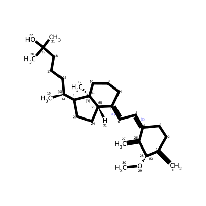 C=C1CC/C(=C/C=C2\CCC[C@]3(C)C([C@@H](C)CCCC(C)(C)O)CC[C@@H]23)C(=C)[C@H]1OC